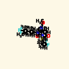 [2H]c1c([2H])c(F)c(F)c(C([2H])([2H])Sc2c([2H])c(=O)c3c([2H])c([2H])c([2H])c([2H])c3n2C([2H])([2H])C(=O)N(C2CCN(CCOC)CC2)C([2H])([2H])c2c([2H])c([2H])c(-c3c([2H])c([2H])c(C(F)(F)F)c(C)c3[2H])c([2H])c2[2H])c1[2H]